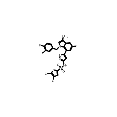 Cc1cn(Cc2ccc(F)c(F)c2)c2c(-c3cc(NS(=O)(=O)c4cc(Cl)c(Cl)s4)no3)cc(F)cc12